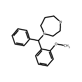 COc1ccccc1C(c1ccccc1)N1CCC[N]CC1